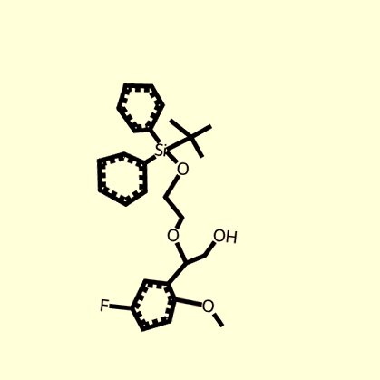 COc1ccc(F)cc1C(CO)OCCO[Si](c1ccccc1)(c1ccccc1)C(C)(C)C